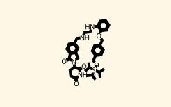 CC(C)[Si](OCc1ccc(COc2ccccc2NCCNCc2ccc3c(c2)CN(C2CCC(=O)NC2=O)C3=O)cc1)(C(C)C)C(C)C